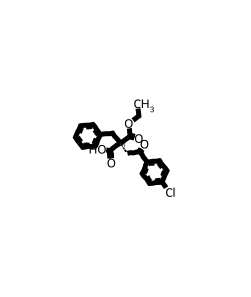 CCOC(=O)[C@](CC(=O)c1ccc(Cl)cc1)(Cc1ccccc1)C(=O)O